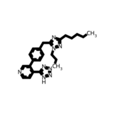 CCCCCc1nc(Cc2ccc(-c3cnccc3-c3nnn[nH]3)cc2)n(CCC)n1